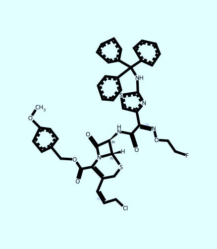 COc1ccc(COC(=O)C2=C(/C=C\CCl)CS[C@H]3[C@H](NC(=O)/C(=N\OCCF)c4csc(NC(c5ccccc5)(c5ccccc5)c5ccccc5)n4)C(=O)N23)cc1